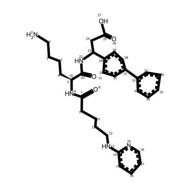 NCCCC[C@H](NC(=O)CCCCNc1ccccn1)C(=O)NC(CC(=O)O)c1ccc(-c2ccccc2)cc1